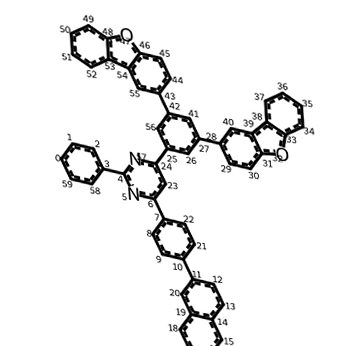 c1ccc(-c2nc(-c3ccc(-c4ccc5ccccc5c4)cc3)cc(-c3cc(-c4ccc5oc6ccccc6c5c4)cc(-c4ccc5oc6ccccc6c5c4)c3)n2)cc1